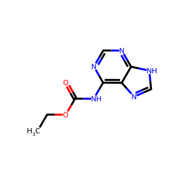 CCOC(=O)Nc1ncnc2[nH]cnc12